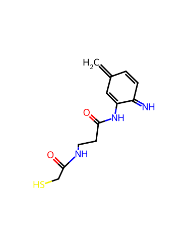 C=C1C=CC(=N)C(NC(=O)CCNC(=O)CS)=C1